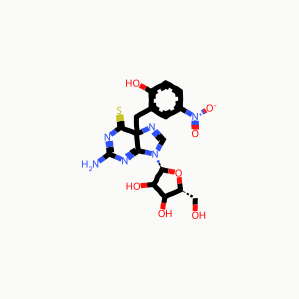 NC1=NC(=S)C2(Cc3cc([N+](=O)[O-])ccc3O)N=CN([C@@H]3O[C@H](CO)C(O)C3O)C2=N1